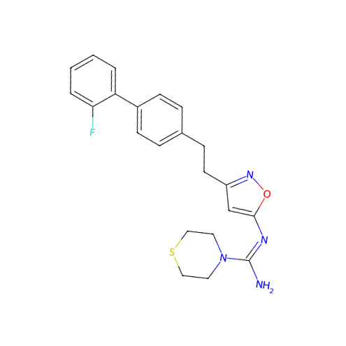 NC(=Nc1cc(CCc2ccc(-c3ccccc3F)cc2)no1)N1CCSCC1